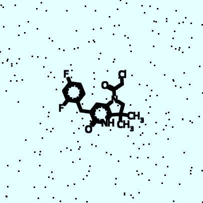 CC1(C)CN(C(=O)CCl)c2cc(Cc3ccc(F)cc3F)c(=O)[nH]c21